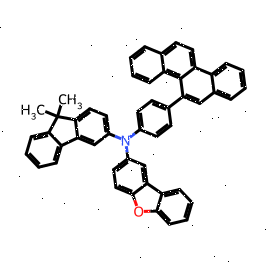 CC1(C)c2ccccc2-c2cc(N(c3ccc(-c4cc5ccccc5c5ccc6ccccc6c45)cc3)c3ccc4oc5ccccc5c4c3)ccc21